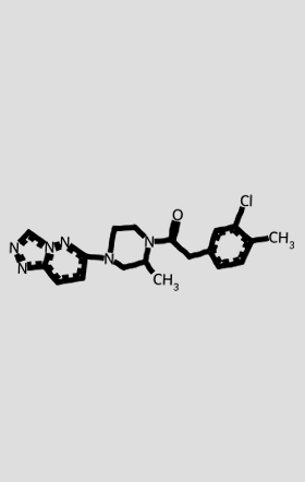 Cc1ccc(CC(=O)N2CCN(c3ccc4nncn4n3)CC2C)cc1Cl